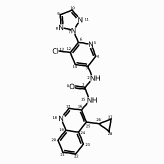 O=C(Nc1cnc(-n2nccn2)c(Cl)c1)Nc1cnc2ccccc2c1C1CC1